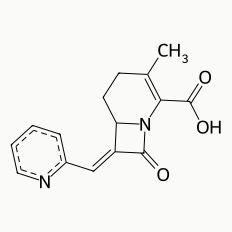 CC1=C(C(=O)O)N2C(=O)/C(=C/c3ccccn3)C2CC1